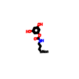 CCCCCCCCCCCCNC(=O)Oc1cc(O)cc(O)c1